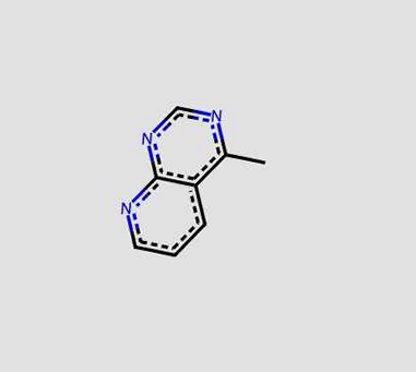 Cc1ncnc2ncccc12